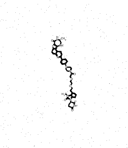 C[C@@H]1CNc2c(sc3ccc4nc(-c5ccc(N6CCN(C(=O)COCCOCCc7cccc8c7n(C)c(=O)n8C7CCC(=O)NC7=O)CC6)cc5)ccc4c23)C(=O)N1